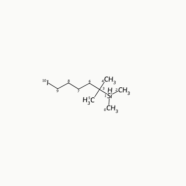 C[SiH](C)C(C)(C)CCCCI